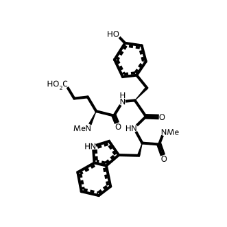 CNC(=O)[C@@H](Cc1c[nH]c2ccccc12)NC(=O)[C@H](Cc1ccc(O)cc1)NC(=O)[C@H](CCC(=O)O)NC